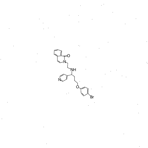 O=c1c2ccccc2ccn1CCNC(CCCOc1ccc(Br)cc1)c1ccncc1